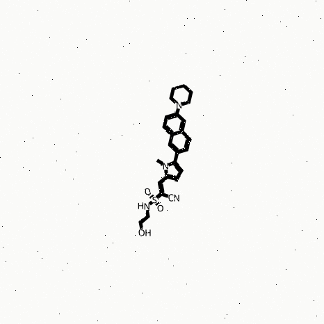 Cn1c(/C=C(\C#N)S(=O)(=O)NCCO)ccc1-c1ccc2cc(N3CCCCC3)ccc2c1